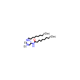 CCCCCCCCCCCCCCCCCC(=O)NCCN(CC)CC.CCCCCCCCCCCCCCCCCCN